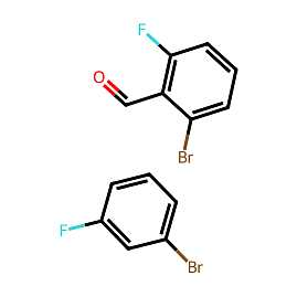 Fc1cccc(Br)c1.O=Cc1c(F)cccc1Br